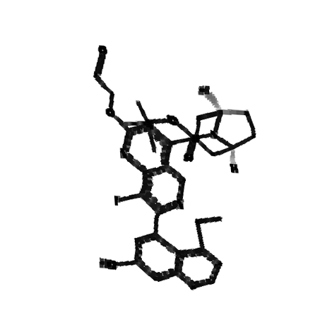 CCc1cccc2cc(O)cc(-c3ncc4c(N5C[C@H]6CC[C@@H](C5)N6C(=O)OC(C)(C)C)nc(OCC=O)nc4c3F)c12